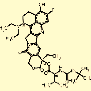 CCN(CC)[C@H]1CCc2c(C)c(F)cc3nc4c(c1c23)Cn1c-4cc2c(c1=O)COC(=O)[C@@]2(CC)OC(=O)[C@@H](NC(=O)OC(C)(C)C)C(C)C